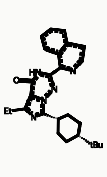 CCc1nc([C@H]2CC[C@@H](C(C)(C)C)CC2)n2nc(-c3nccc4ccccc34)[nH]c(=O)c12